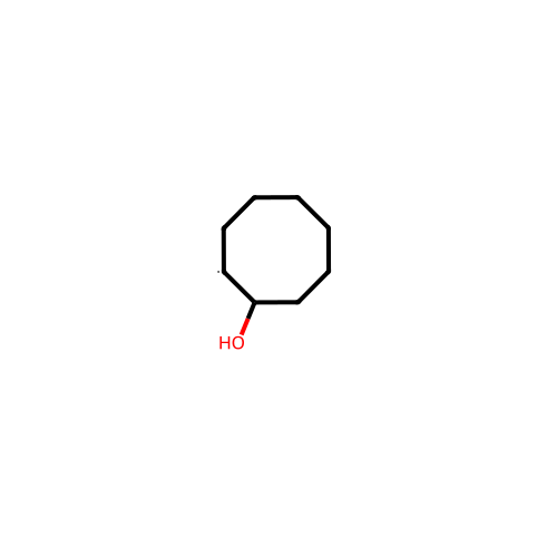 OC1[CH]CCCCCC1